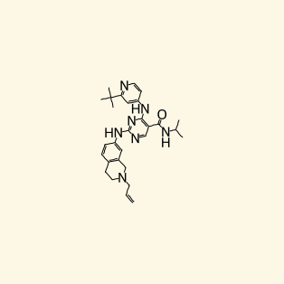 C=CCN1CCc2ccc(Nc3ncc(C(=O)NC(C)C)c(Nc4ccnc(C(C)(C)C)c4)n3)cc2C1